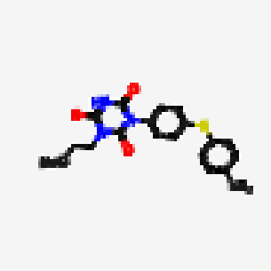 COCCn1c(=O)[nH]c(=O)n(-c2ccc(Sc3ccc([N+](=O)[O-])cc3)cc2)c1=O